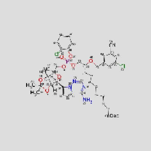 CCCCCCCCCCCCCCCCCC[C@H](COP(=O)(OC[C@@]1(C#N)O[C@@H](c2ccc3c(N)ncnn23)[C@@H]2OC(C)(C)O[C@@H]21)Oc1ccccc1Cl)OCc1cc(Cl)cc(C#N)c1